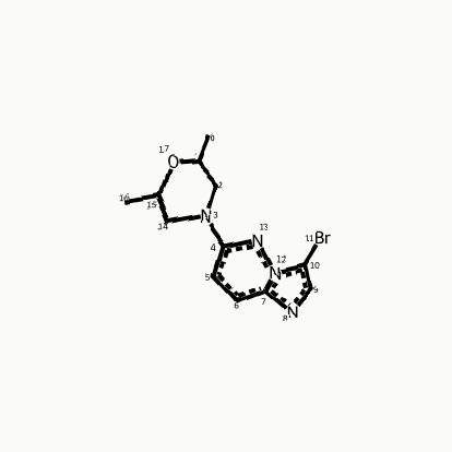 CC1CN(c2ccc3ncc(Br)n3n2)CC(C)O1